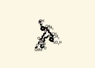 COCCOCCNC(=O)CCCCC[N+]1=C(C=CC=C2N(CCCCCC(=O)ON3C(=O)CCC3=O)c3ccc(S(=O)(=O)O)cc3C2(C)C)C(C)(C)c2cc(SOOO)ccc21